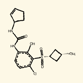 O=C(Nc1ccc(Cl)c(S(=O)(=O)[C@H]2C[C@@H](O)C2)c1O)NC1C=CCC1